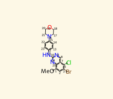 COc1cc(Br)c(Cl)c2cnc(Nc3ccc(N4CCOCC4)cc3)nc12